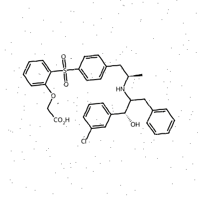 C[C@H](Cc1ccc(S(=O)(=O)c2ccccc2OCC(=O)O)cc1)NC(Cc1ccccc1)[C@H](O)c1cccc(Cl)c1